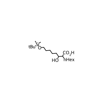 CCCCCCC(C(=O)O)C(O)CCCCCO[Si](C)(C)C(C)(C)C